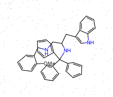 COc1ccccc1CNCC(Cc1c[nH]c2ccccc12)NC(c1ccccc1)(c1ccccc1)c1ccccc1